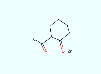 CC(=O)C1CCCCC1=O.[Zn]